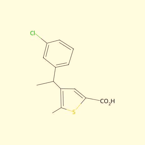 Cc1sc(C(=O)O)cc1C(C)c1cccc(Cl)c1